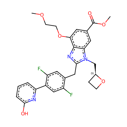 COCCOc1cc(C(=O)OC)cc2c1nc(Cc1cc(F)c(-c3cccc(O)n3)cc1F)n2C[C@@H]1CCO1